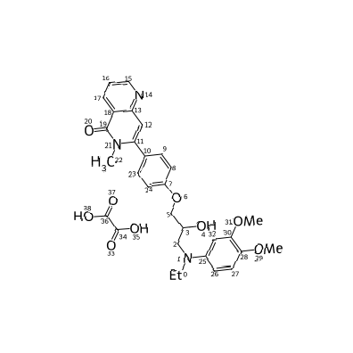 CCN(CC(O)COc1ccc(-c2cc3ncccc3c(=O)n2C)cc1)c1ccc(OC)c(OC)c1.O=C(O)C(=O)O